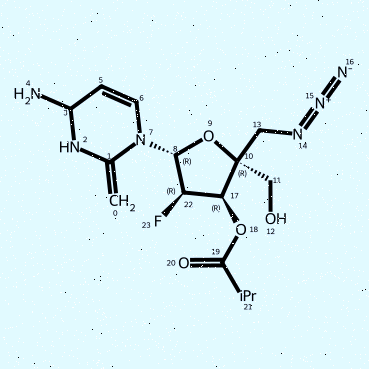 C=C1NC(N)C=CN1[C@@H]1O[C@@](CO)(CN=[N+]=[N-])[C@@H](OC(=O)C(C)C)[C@H]1F